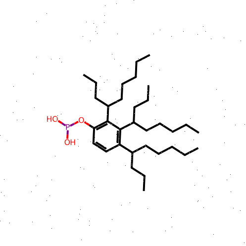 CCCCCC(CCC)c1ccc(OP(O)O)c(C(CCC)CCCCC)c1C(CCC)CCCCC